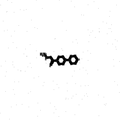 NOCC(=O)N1CCC(N2CCCCC2)CC1